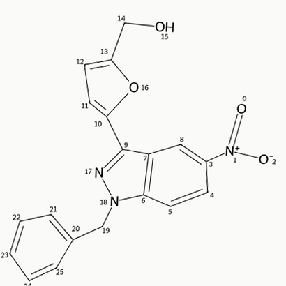 O=[N+]([O-])c1ccc2c(c1)c(-c1ccc(CO)o1)nn2Cc1ccccc1